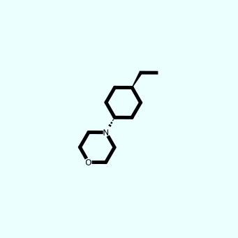 CC[C@H]1CC[C@H](N2CCOCC2)CC1